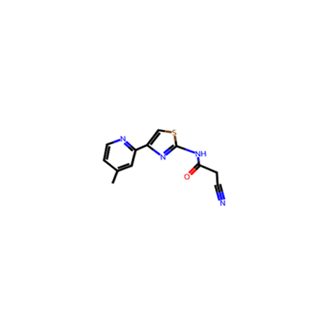 Cc1ccnc(-c2csc(NC(=O)CC#N)n2)c1